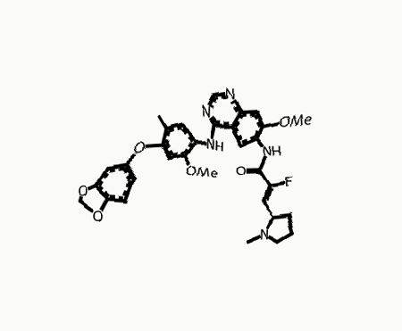 COc1cc2ncnc(Nc3cc(C)c(Oc4ccc5c(c4)OCO5)cc3OC)c2cc1NC(=O)/C(F)=C/[C@H]1CCCN1C